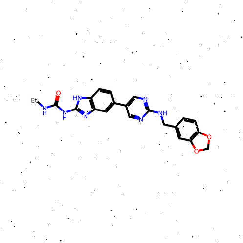 CCNC(=O)Nc1nc2cc(-c3cnc(NCc4ccc5c(c4)OCO5)nc3)ccc2[nH]1